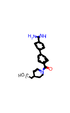 N=C(N)c1ccc(-c2ccc(C(=O)N3CCC(CC(=O)O)CC3)cc2)cc1